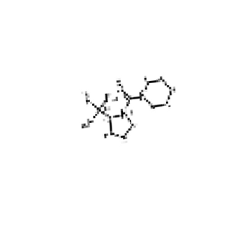 O=C(N1CCCCC1)N1CCCC1C(F)(F)F